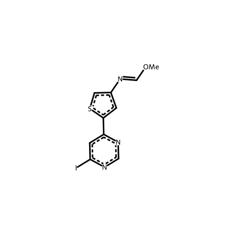 COC=Nc1csc(-c2cc(I)ncn2)c1